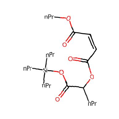 CCCOC(=O)/C=C\C(=O)OC(CCC)C(=O)O[Si](CCC)(CCC)CCC